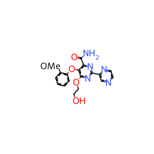 COc1ccccc1Oc1c(OCCO)nc(-c2cnccn2)nc1C(N)=O